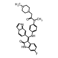 CN1CCN(CC(=O)N(C)c2ccc(NC(=C3C(=O)Nc4cc(F)ccc43)c3ccn4ccnc4c3)cc2)CC1